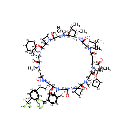 CC[C@H](C)[C@@H]1NC(=O)[C@H](CC(C)C)N(C)C(=O)C[C@@H](C(=O)N(C)C)N(C)C(=O)[C@H](C2CCCC2)N(C)C(=O)C2(CCCC2)NC(=O)[C@H](Cc2ccc(C(F)F)cc2)N(C)C(=O)[C@H](CCc2ccc(C(F)(F)F)c(Cl)c2)NC(=O)CN(C)C(=O)[C@H](CC2CCCCC2)N(C)C(=O)[C@@H]2CCN2C(=O)[C@H](C)N(C)C1=O